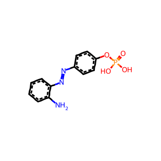 Nc1ccccc1N=Nc1ccc(OP(=O)(O)O)cc1